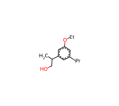 [CH2]C(CO)c1cc(OCC)cc(C(C)C)c1